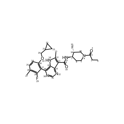 CCC(=O)N1CC[C@@H](NC(=O)c2c(C)[nH]c3c(-c4c(OCC5CC5)ccc(C)c4F)ncnc23)[C@H](F)C1